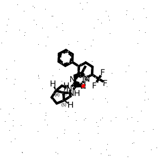 Cc1cc(N2C[C@H]3CC[C@@H](C2)[C@@H]3Nc2nc3n(n2)C(C(F)(F)F)CCC3c2ccccc2)on1